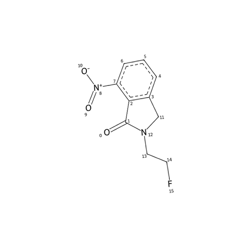 O=C1c2c(cccc2[N+](=O)[O-])CN1CCF